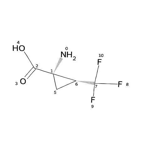 N[C@@]1(C(=O)O)C[C@H]1C(F)(F)F